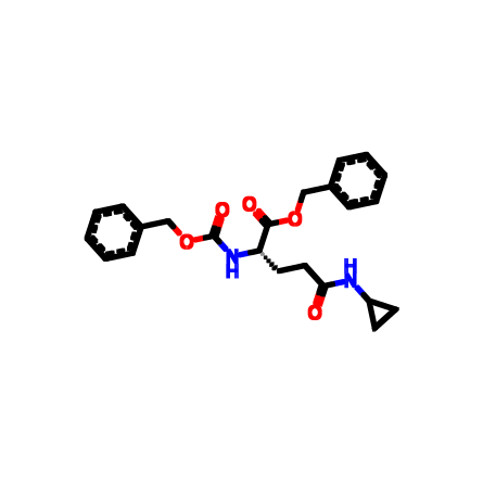 O=C(CC[C@H](NC(=O)OCc1ccccc1)C(=O)OCc1ccccc1)NC1CC1